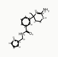 CC1(c2cccc(C(=O)NCc3cccs3)c2)CCSC(N)=N1